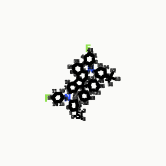 C[Si](C)(C)c1ccc(N(c2ccc(F)cc2)c2ccc3c(c2)C(c2ccccc2)(c2ccccc2)c2cc(N(c4ccc(F)cc4)c4ccc([Si](C)(C)C)cc4)c4ccccc4c2-3)cc1